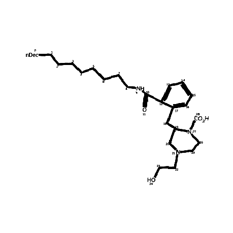 CCCCCCCCCCCCCCCCCCNC(=O)c1ccccc1CC1CN(CCO)CCN1C(=O)O